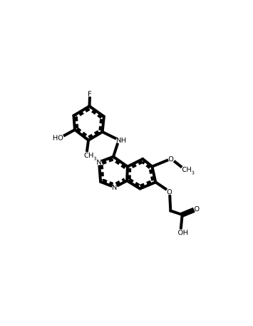 COc1cc2c(Nc3cc(F)cc(O)c3C)ncnc2cc1OCC(=O)O